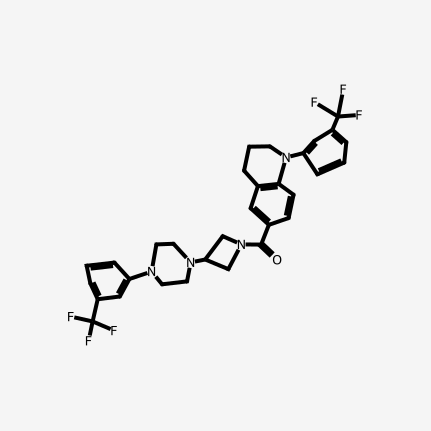 O=C(c1ccc2c(c1)CCCN2c1cccc(C(F)(F)F)c1)N1CC(N2CCN(c3cccc(C(F)(F)F)c3)CC2)C1